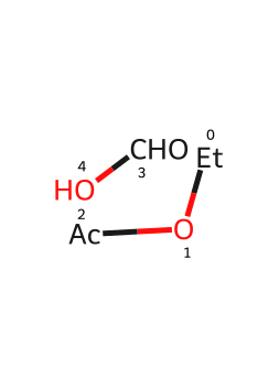 CCOC(C)=O.O=CO